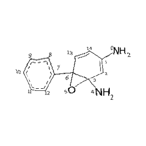 NC1=CC2(N)OC2(c2ccccc2)C=C1